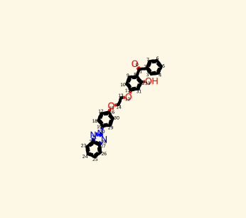 O=C(c1ccccc1)c1ccc(OCCOc2ccc(-n3nc4ccccc4n3)cc2)cc1O